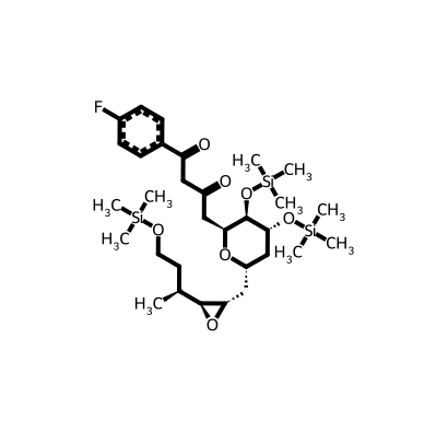 C[C@@H](CCO[Si](C)(C)C)[C@@H]1O[C@H]1C[C@H]1C[C@@H](O[Si](C)(C)C)[C@H](O[Si](C)(C)C)[C@H](CC(=O)CC(=O)c2ccc(F)cc2)O1